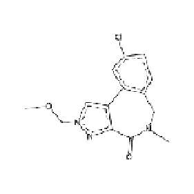 COCn1cc2c(n1)C(=O)N(C)Cc1ccc(Cl)cc1-2